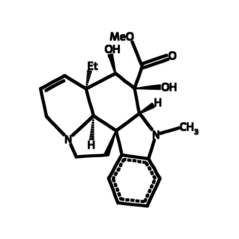 CC[C@]12C=CCN3CC[C@@]4(c5ccccc5N(C)[C@H]4[C@@](O)(C(=O)OC)[C@@H]1O)[C@@H]32